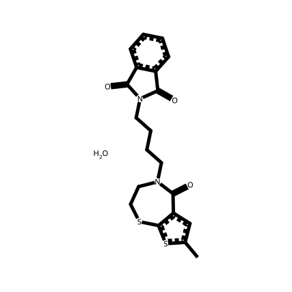 Cc1cc2c(s1)SCCN(CCCCN1C(=O)c3ccccc3C1=O)C2=O.O